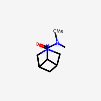 CON(C)C(=O)C1C2CNCC1C2